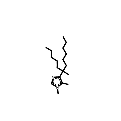 CCCCCCC(C)(CCCCC)c1ncn(C)c1I